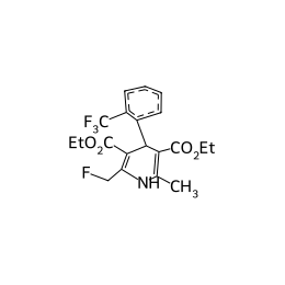 CCOC(=O)C1=C(C)NC(CF)=C(C(=O)OCC)C1c1ccccc1C(F)(F)F